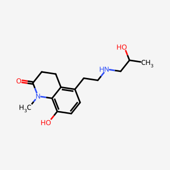 CC(O)CNCCc1ccc(O)c2c1CCC(=O)N2C